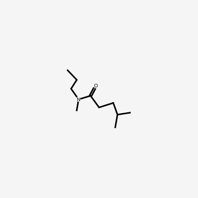 CCCN(C)C(=O)CCC(C)C